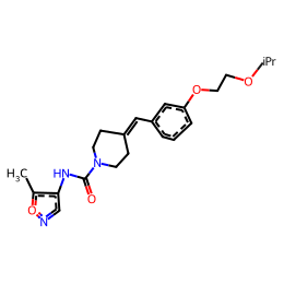 Cc1oncc1NC(=O)N1CCC(=Cc2cccc(OCCOC(C)C)c2)CC1